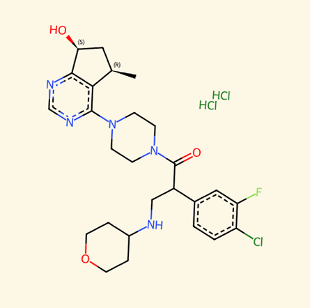 C[C@@H]1C[C@H](O)c2ncnc(N3CCN(C(=O)C(CNC4CCOCC4)c4ccc(Cl)c(F)c4)CC3)c21.Cl.Cl